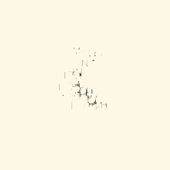 COc1ccccc1N1CCN(CCNC(=O)C2(C)CC[C@]3(C)CC[C@]4(C)C(=CC[C@@H]5[C@@]6(C)CC[C@H](O)C(C)(C)C6CC[C@]54C)[C@@H]3C2)CC1